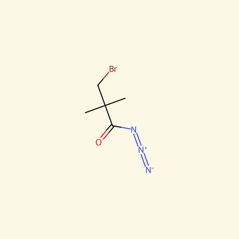 CC(C)(CBr)C(=O)N=[N+]=[N-]